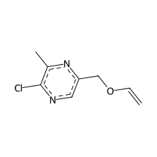 C=COCc1cnc(Cl)c(C)n1